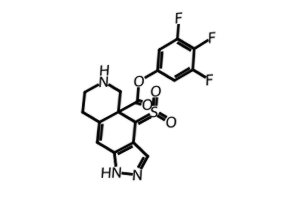 O=C(Oc1cc(F)c(F)c(F)c1)C12CNCCC1=Cc1[nH]ncc1C2=S(=O)=O